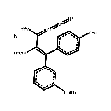 CCCCCC(C(=C=[N+]=[N-])CCCC)=C(c1ccc(CCCC)cc1)c1cccc(CCCCC)c1.[Ni]